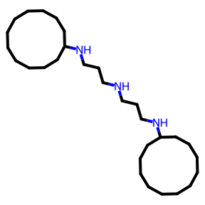 C1CCCCCC(NCCCNCCCNC2CCCCCCCCCCC2)CCCCC1